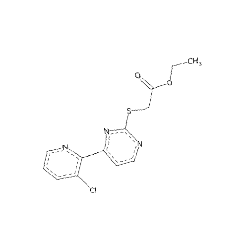 CCOC(=O)CSc1nccc(-c2ncccc2Cl)n1